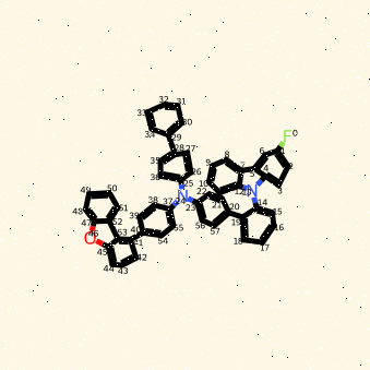 Fc1ccc2c(c1)c1ccccc1n2-c1ccccc1-c1ccc(N(c2ccc(-c3ccccc3)cc2)c2ccc(-c3cccc4oc5ccccc5c34)cc2)cc1